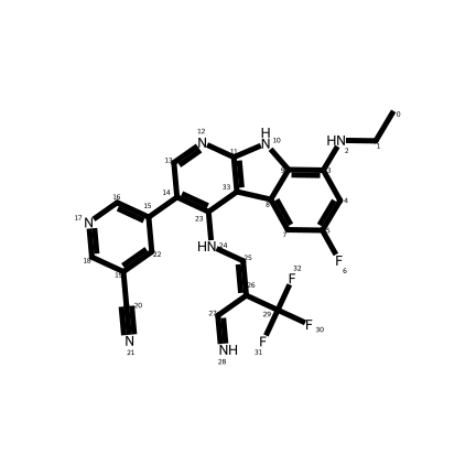 CCNc1cc(F)cc2c1[nH]c1ncc(-c3cncc(C#N)c3)c(N/C=C(\C=N)C(F)(F)F)c12